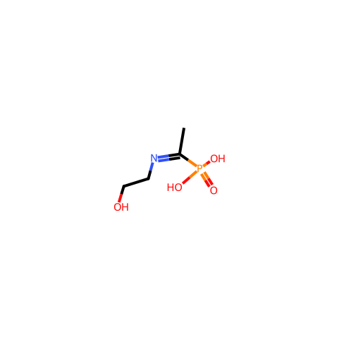 CC(=NCCO)P(=O)(O)O